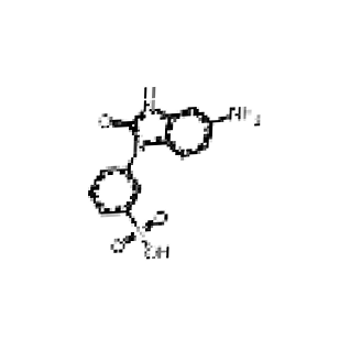 Nc1ccc2c(c1)[nH]c(=O)n2-c1cccc(S(=O)(=O)O)c1